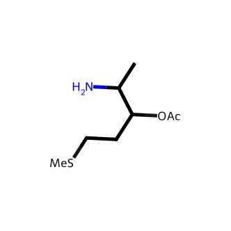 CSCCC(OC(C)=O)C(C)N